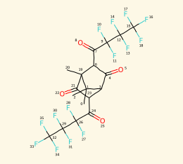 CC1(C)C2C(=O)C(C(=O)C(F)(F)C(F)(F)C(F)(F)F)C1(C)C(=O)C2C(=O)C(F)(F)C(F)(F)C(F)(F)F